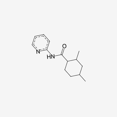 CC1CCC(C(=O)Nc2ccccn2)C(C)C1